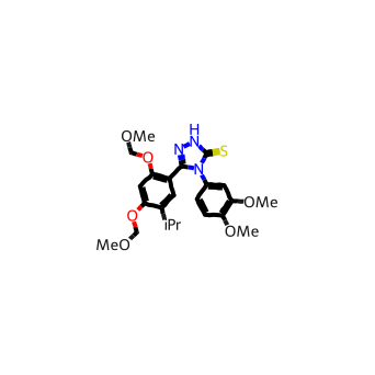 COCOc1cc(OCOC)c(C(C)C)cc1-c1n[nH]c(=S)n1-c1ccc(OC)c(OC)c1